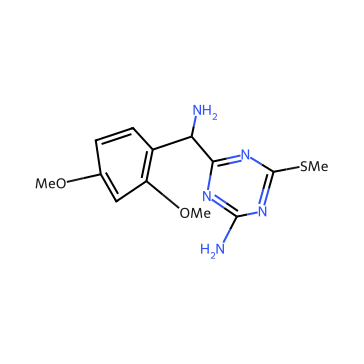 COc1ccc(C(N)c2nc(N)nc(SC)n2)c(OC)c1